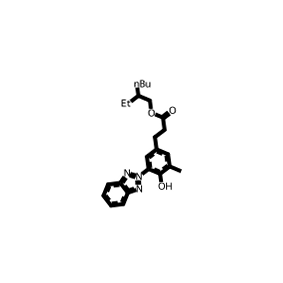 CCCCC(CC)COC(=O)CCc1cc(C)c(O)c(-n2nc3ccccc3n2)c1